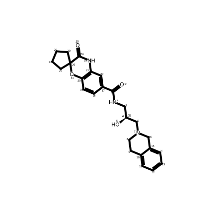 O=C(NC[C@H](O)CN1CCc2ccccc2C1)c1ccc2c(c1)NC(=O)C1(CCCC1)O2